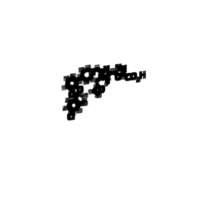 Cc1c(-c2nnc(C(=O)O)o2)nc(CN2CCC(c3cccc4c3O[C@@](C)(c3ccc(Cl)cc3F)O4)CC2)n1C[C@@H]1CCO1